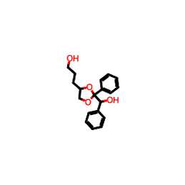 OCCCC1COC(c2ccccc2)(C(O)c2ccccc2)O1